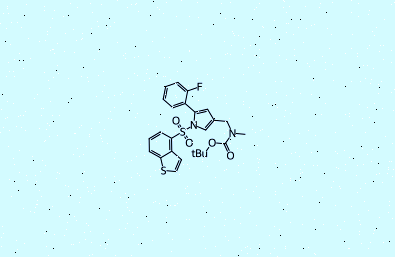 CN(Cc1cc(-c2ccccc2F)n(S(=O)(=O)c2cccc3sccc23)c1)C(=O)OC(C)(C)C